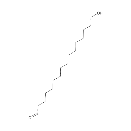 O=[C]CCCCCCCCCCCCCCCO